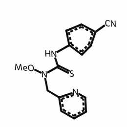 CON(Cc1ccccn1)C(=S)Nc1ccc(C#N)cc1